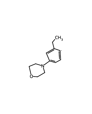 CCc1[c]ccc(N2CCOCC2)c1